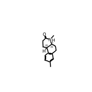 Cc1ccc2c(c1)CC[C@H]1[C@H]2CCC(=O)N1C